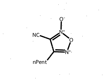 CCCCCC1=[N+]O[N+]([O-])=C1C#N